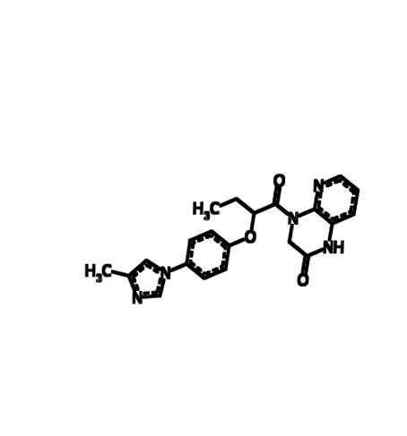 CCC(Oc1ccc(-n2cnc(C)c2)cc1)C(=O)N1CC(=O)Nc2cccnc21